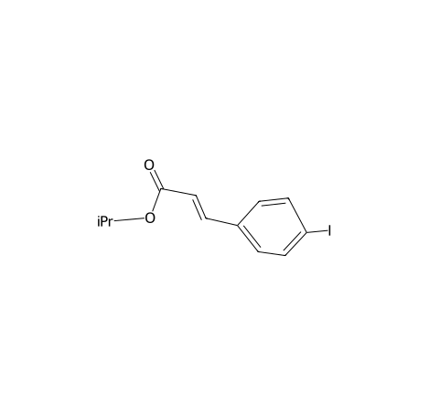 CC(C)OC(=O)C=Cc1ccc(I)cc1